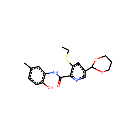 CCSc1cc(C2OCCCO2)cnc1C(=O)Nc1cc(C)ccc1O